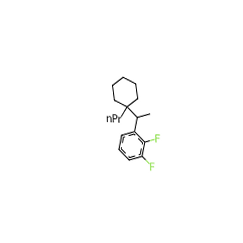 CCCC1(C(C)c2cccc(F)c2F)CCCCC1